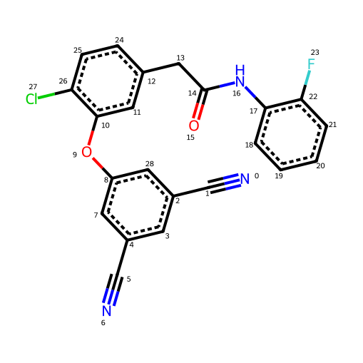 N#Cc1cc(C#N)cc(Oc2cc(CC(=O)Nc3ccccc3F)ccc2Cl)c1